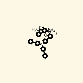 CC1(C)c2ccccc2-c2c1ccc1c2Oc2c(-c3ccc(N(c4ccc(-c5ccccc5)cc4)c4ccc(-c5ccccc5)cc4)cc3)cccc2[Si]1(C)C